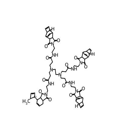 CC1C=C[C@H]1C1C=CCC2C(=O)N(CCNC(=O)CCN(CCC(=O)NCCN3C(=O)C4C5C=CC(C4C3=O)[C@H]3C=CC53)CCN(CCC(=O)NCCN3C(=O)C4C5C=CC(C4C3=O)[C@@H]3C=CC53)CCC(=O)NCCN3C(=O)C4C5C=CC(C4C3=O)[C@H]3C=CC53)C(=O)C21